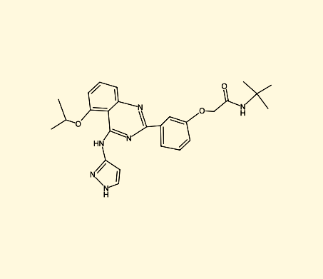 CC(C)Oc1cccc2nc(-c3cccc(OCC(=O)NC(C)(C)C)c3)nc(Nc3cc[nH]n3)c12